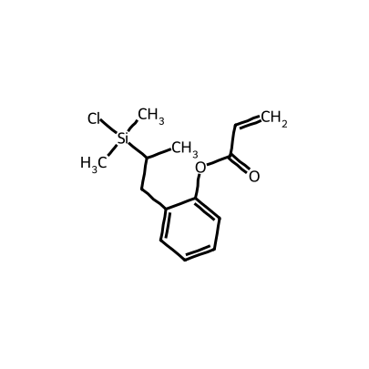 C=CC(=O)Oc1ccccc1CC(C)[Si](C)(C)Cl